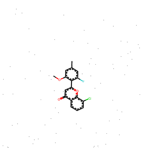 COc1cc(C)cc(F)c1-c1cc(=O)c2cccc(Cl)c2o1